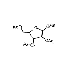 COC1OC(COC(C)=O)C(OC(C)=O)C1OC(C)=O